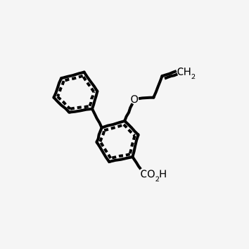 C=CCOc1cc(C(=O)O)ccc1-c1ccccc1